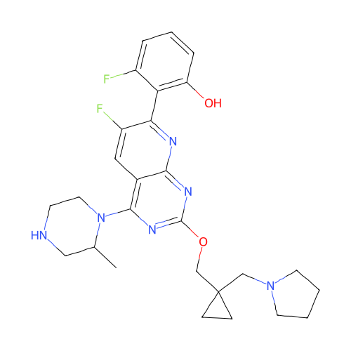 CC1CNCCN1c1nc(OCC2(CN3CCCC3)CC2)nc2nc(-c3c(O)cccc3F)c(F)cc12